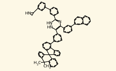 CC1(C)c2ccccc2C2(c3ccccc3-c3c(-c4cccc(C5=C(c6cccc(-c7ccc8ccccc8c7)c6)N=C(c6cccc(-c7cccc(C8CN8)c7)c6)NN5)c4)cccc32)c2ccccc21